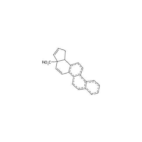 O=C(O)C12C=CCC1c1ccc3c(ccc4ccccc43)c1C=C2